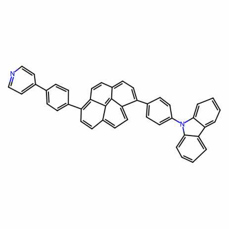 c1ccc2c(c1)c1ccccc1n2-c1ccc(-c2ccc3ccc4c(-c5ccc(-c6ccncc6)cc5)ccc5ccc2c3c54)cc1